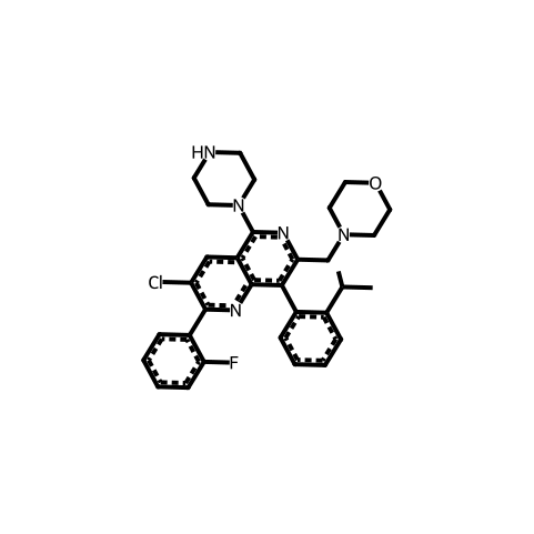 CC(C)c1ccccc1-c1c(CN2CCOCC2)nc(N2CCNCC2)c2cc(Cl)c(-c3ccccc3F)nc12